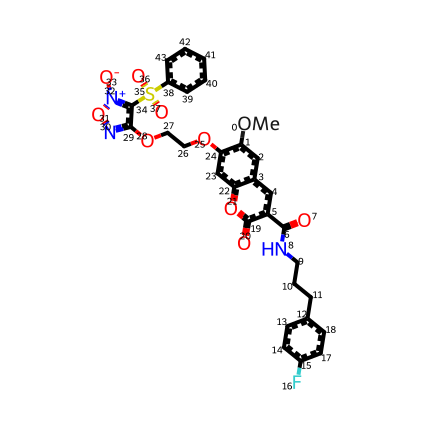 COc1cc2cc(C(=O)NCCCc3ccc(F)cc3)c(=O)oc2cc1OCCOc1no[n+]([O-])c1S(=O)(=O)c1ccccc1